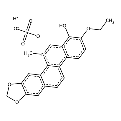 CCOc1ccc2c(c[n+](C)c3c4cc5c(cc4ccc23)OCO5)c1O.O=S(=O)([O-])[O-].[H+]